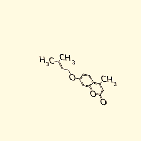 CC(C)=CCOc1ccc2c(C)cc(=O)oc2c1